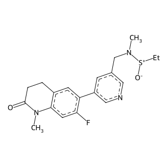 CC[S+]([O-])N(C)Cc1cncc(-c2cc3c(cc2F)N(C)C(=O)CC3)c1